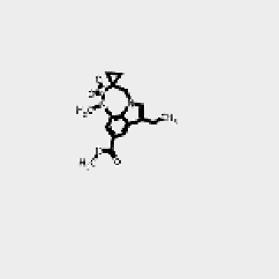 CCc1cn2c3c(cc(C(=O)OC)cc13)N(C)S(=O)(=O)C1(CC1)C2